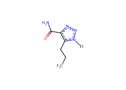 CCn1nnc(C(N)=O)c1CCC(F)(F)F